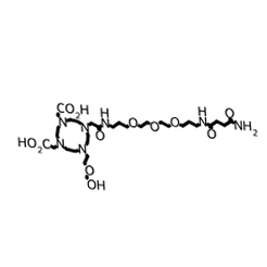 NC(=O)CCC(=O)NCCCOCCOCCOCCCNC(=O)CN1CCN(CCOCO)CCN(CC(=O)O)CCN(CC(=O)O)CC1